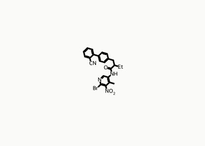 CCC(Cc1ccc(-c2ccccc2C#N)cc1)C(=O)Nc1cnc(Br)c([N+](=O)[O-])c1C